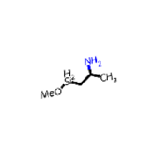 CO[SiH2]CC(C)N